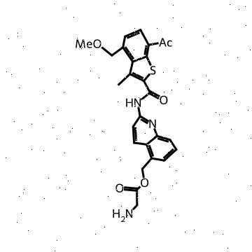 COCc1ccc(C(C)=O)c2sc(C(=O)Nc3ccc4c(COC(=O)CN)cccc4n3)c(C)c12